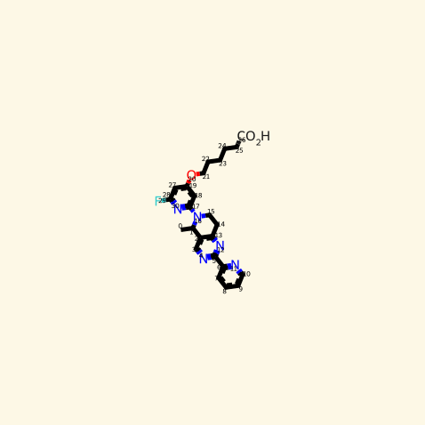 CC1c2cnc(-c3ccccn3)nc2CCN1c1cc(OCCCCCC(=O)O)cc(F)n1